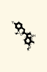 COc1cc(F)ccc1CC(=O)c1c[nH]c2c(C)c(OC)ccc12